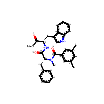 COC(=O)[C@H](Cc1c[nH]c2ccccc12)NC(=O)[C@@H](Cc1ccccc1)N(C)C(=O)c1cc(C)cc(C)c1